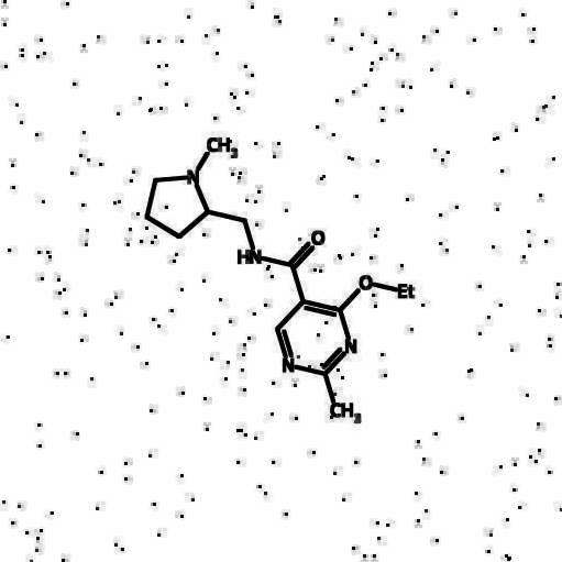 CCOc1nc(C)ncc1C(=O)NCC1CCCN1C